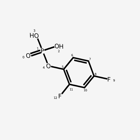 O=P(O)(O)Oc1ccc(F)cc1F